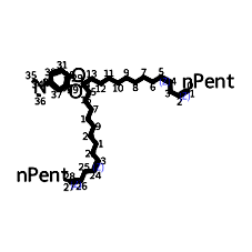 CCCCC/C=C\C/C=C\CCCCCCCCC1(CCCCCCCC/C=C\C/C=C\CCCCC)Oc2ccc(N(C)C)cc2O1